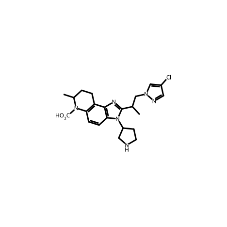 CC(Cn1cc(Cl)cn1)c1nc2c3c(ccc2n1C1CCNC1)N(C(=O)O)C(C)CC3